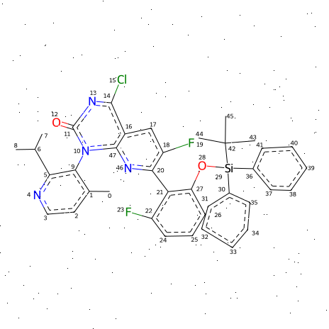 Cc1ccnc(C(C)C)c1-n1c(=O)nc(Cl)c2cc(F)c(-c3c(F)cccc3O[Si](c3ccccc3)(c3ccccc3)C(C)(C)C)nc21